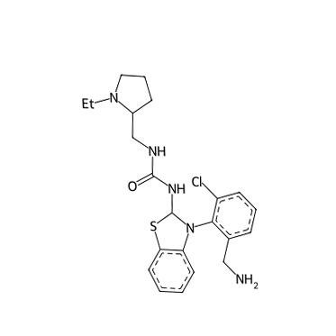 CCN1CCCC1CNC(=O)NC1Sc2ccccc2N1c1c(Cl)cccc1CN